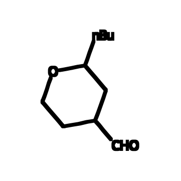 CCCCC1CC(C=O)CCO1